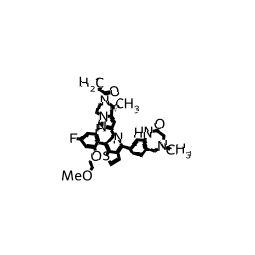 C=CC(=O)N1CCn2nc(-c3nc(-c4ccc5c(c4)NC(=O)CN(C)C5)c4ccsc4c3-c3c(F)cc(F)cc3OCCOC)cc2[C@H]1C